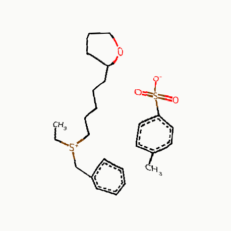 CC[S+](CCCCCC1CCCO1)Cc1ccccc1.Cc1ccc(S(=O)(=O)[O-])cc1